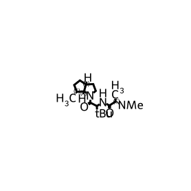 CN[C@@H](C)C(=O)NC(C(=O)N1CC[C@H]2CC[C@H](C)[C@H]21)C(C)(C)C